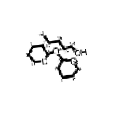 C1CCC(OC2CCCCO2)OC1.OCCCCI